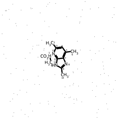 CC(=O)O.Cc1cc(C)c2nc(C)[nH]c2n1